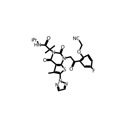 Cc1c(-n2nccn2)sc2c1c(=O)n(C(C)(C)C(=O)NC(C)C)c(=O)n2CC(=O)c1cc(F)ccc1OCC#N